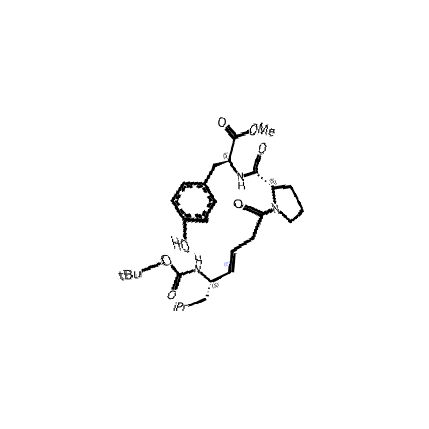 COC(=O)[C@H](Cc1ccc(O)cc1)NC(=O)[C@@H]1CCCN1C(=O)C/C=C/[C@H](CC(C)C)NC(=O)OC(C)(C)C